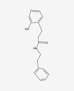 O=C(CCc1ccccc1O)NCCc1ccccc1